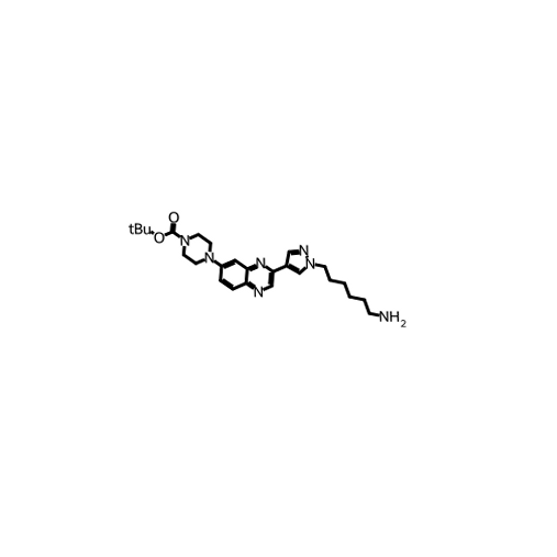 CC(C)(C)OC(=O)N1CCN(c2ccc3ncc(-c4cnn(CCCCCCN)c4)nc3c2)CC1